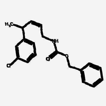 CC(/C=C\CNC(=O)OCc1ccccc1)c1cccc(Cl)c1